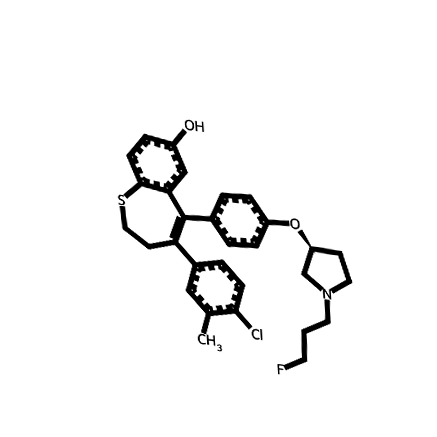 Cc1cc(C2=C(c3ccc(O[C@H]4CCN(CCCF)C4)cc3)c3cc(O)ccc3SCC2)ccc1Cl